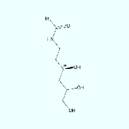 CCC(=O)NCC[C@@H](O)CC(O)CO